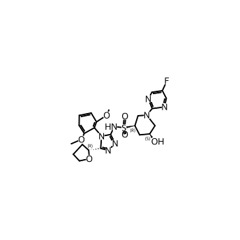 COc1cccc(OC)c1-n1c(NS(=O)(=O)[C@@H]2C[C@H](O)CN(c3ncc(F)cn3)C2)nnc1[C@H]1CCCO1